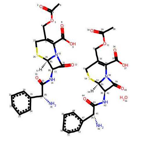 CC(=O)OCC1=C(C(=O)O)N2C(=O)[C@@H](NC(=O)[C@H](N)c3ccccc3)[C@H]2SC1.CC(=O)OCC1=C(C(=O)O)N2C(=O)[C@@H](NC(=O)[C@H](N)c3ccccc3)[C@H]2SC1.O